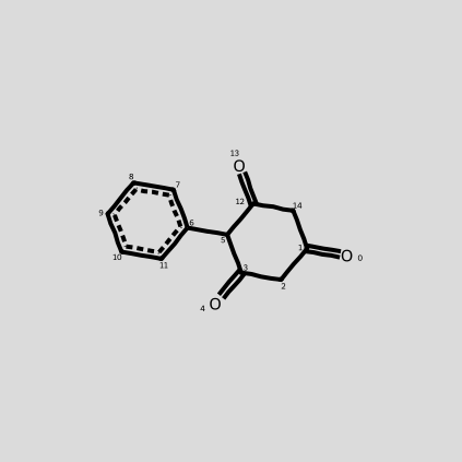 O=C1CC(=O)C(c2ccccc2)C(=O)C1